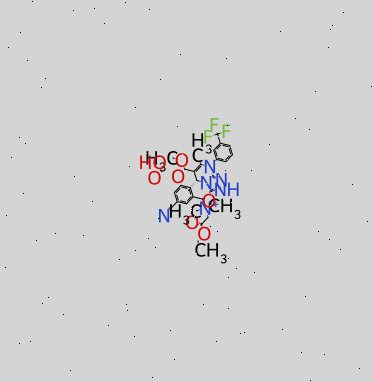 CCOC(=O)C[N+](C)(C)Cc1cc(C#N)ccc1[C@@H]1C(C(=O)OC)=C(C)N(c2cccc(C(F)(F)F)c2)c2n[nH]c(=O)n21.O=CO